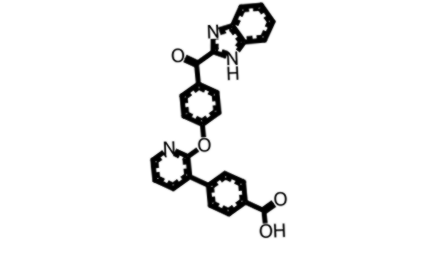 O=C(O)c1ccc(-c2cccnc2Oc2ccc(C(=O)c3nc4ccccc4[nH]3)cc2)cc1